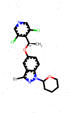 CCc1nn(C2CCCCO2)c2ccc(O[C@H](C)c3c(Cl)cncc3Cl)cc12